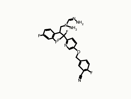 N#Cc1cc(COc2ccc(C(F)(F)C(CN(N)/C=N\N)c3ccc(F)cc3F)nc2)ccc1F